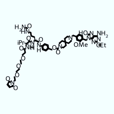 CCOc1nc(N)c2nc(O)n(Cc3ccc(CN4CCC5(CC4)CCN(C(=O)OCc4ccc(NC(=O)[C@H](CCCNC(N)=O)NC(=O)[C@@H](NC(=O)CCOCCOCCOCCN6C(=O)C=CC6=O)C(C)C)cc4)CC5)cc3OC)c2n1